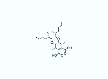 CCCCC(=COCC(C)/C(C(=O)O)=C(/C(=O)O)C(C)COC=C(CC)CCCC)CC